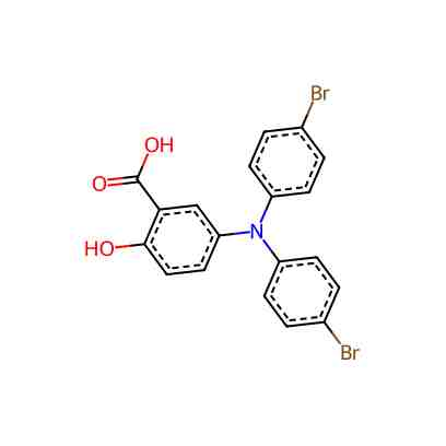 O=C(O)c1cc(N(c2ccc(Br)cc2)c2ccc(Br)cc2)ccc1O